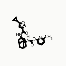 Cc1cccc(OC(=O)NC23CC4CC(C2)CC(NC(=O)c2cc(C5CC5)on2)(C4)C3)n1